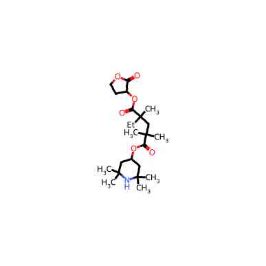 CCC(C)(CC(C)(C)C(=O)OC1CC(C)(C)NC(C)(C)C1)C(=O)OC1CCOC1=O